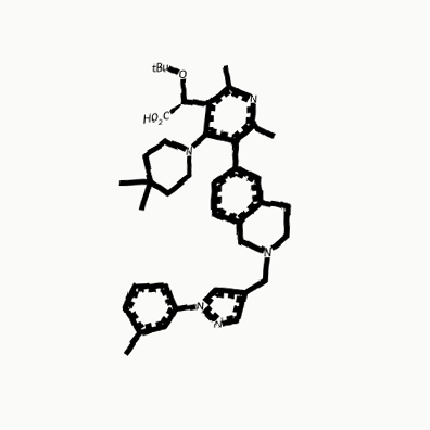 Cc1cccc(-n2cc(CN3CCc4cc(-c5c(C)nc(C)c([C@H](OC(C)(C)C)C(=O)O)c5N5CCC(C)(C)CC5)ccc4C3)cn2)c1